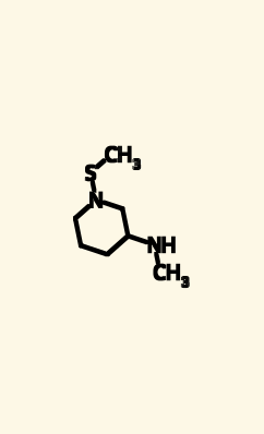 CNC1CCCN(SC)C1